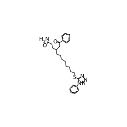 NC(=O)CCC(CCCCCCCCSc1nnnn1-c1ccccc1)CC(=O)c1ccccc1